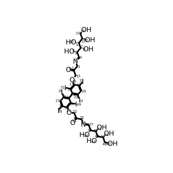 O=C(CN=C[C@H](O)[C@@H](O)[C@H](O)[C@H](O)CO)COc1c(I)cc(I)c(-c2c(I)cc(I)c(OCC(=O)CN=C[C@H](O)[C@@H](O)[C@H](O)[C@H](O)CO)c2I)c1I